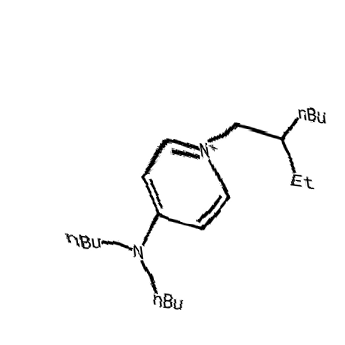 CCCCC(CC)C[n+]1ccc(N(CCCC)CCCC)cc1